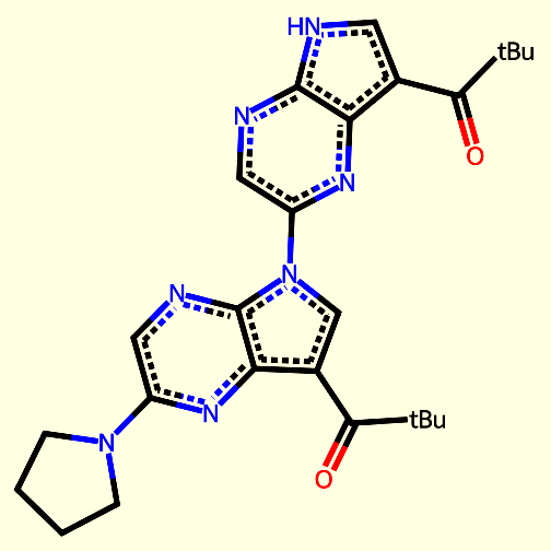 CC(C)(C)C(=O)c1c[nH]c2ncc(-n3cc(C(=O)C(C)(C)C)c4nc(N5CCCC5)cnc43)nc12